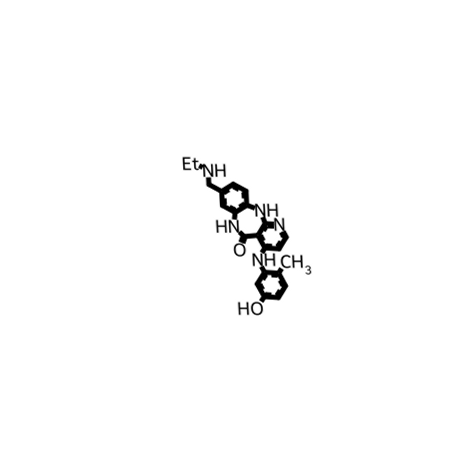 CCNCc1ccc2c(c1)NC(=O)c1c(Nc3cc(O)ccc3C)ccnc1N2